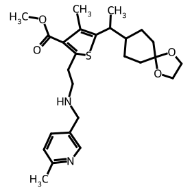 COC(=O)c1c(CCNCc2ccc(C)nc2)sc(C(C)C2CCC3(CC2)OCCO3)c1C